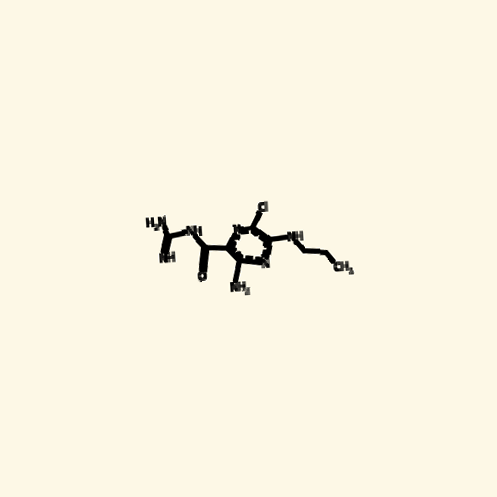 CCCNc1nc(N)c(C(=O)NC(=N)N)nc1Cl